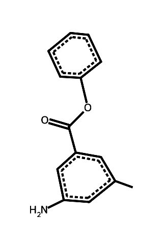 Cc1cc(N)cc(C(=O)Oc2ccccc2)c1